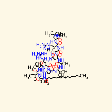 CCCCCCCCCCCCCCCC(=O)N[C@@H](C)C(=O)N[C@H](C(=O)N[C@H](C(=O)N[C@@H](CCCNC(=N)N)C(=O)N1CCC[C@H]1C(=O)N[C@H](C(=O)N[C@@H](C)C(=O)N[C@@H](CC(N)=O)C(=O)N[C@@H](C)C(=O)N[C@@H](CCCNC(=N)N)C(=O)N[C@@H](CC(C)C)C(=O)NC)C(C)C)C(C)C)[C@@H](C)CC